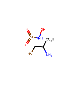 NC(CS)C(=O)O.O=[SH](=O)NO